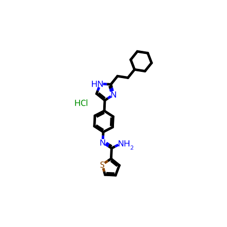 Cl.N/C(=N\c1ccc(-c2c[nH]c(CCC3CCCCC3)n2)cc1)c1cccs1